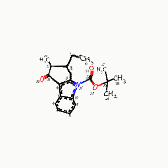 CCC1c2c(c3ccccc3n2C(=O)OC(C)(C)C)C(=O)C1C